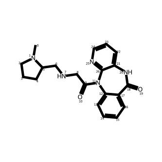 CN1CCCC1CNCC(=O)N1c2ccccc2C(=O)Nc2cccnc21